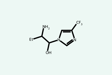 CCC(N)C(O)n1cnc(C(F)(F)F)c1